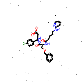 O=C(O)CC(NC(=O)C(COCc1ccccc1)NC(=O)CCCCNc1ccccn1)c1ccc(Cl)cc1